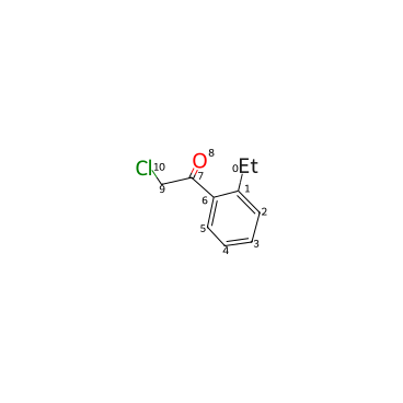 CCc1ccccc1C(=O)CCl